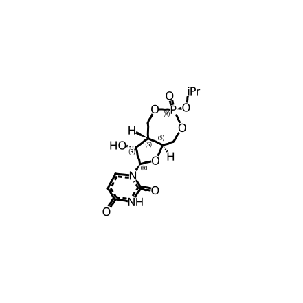 CC(C)O[P@]1(=O)OC[C@H]2[C@@H](O)[C@H](n3ccc(=O)[nH]c3=O)O[C@@H]2CO1